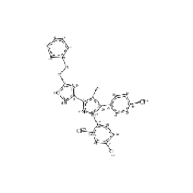 Cc1c(-c2noc(CCc3ccccc3)n2)nn(-c2ccc(Cl)cc2Cl)c1-c1ccc(Cl)cc1